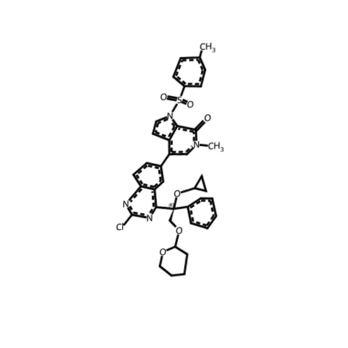 Cc1ccc(S(=O)(=O)n2ccc3c(-c4ccc5nc(Cl)nc([C@](COC6CCCCO6)(OC6CC6)c6ccccc6)c5c4)cn(C)c(=O)c32)cc1